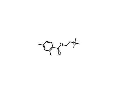 Cc1ccc(C(=O)OCC[N+](C)(C)C)c(C)c1